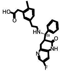 Cc1ccc(CCN[C@H](c2ccccc2)C2Cc3ncc(F)cc3NC2=O)cc1CC(=O)O